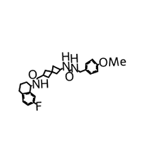 COc1ccc(CNC(=O)NC2CC3(C2)CC(C(=O)N[C@H]2CCCc4ccc(F)cc42)C3)cc1